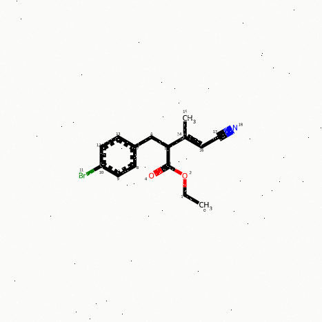 CCOC(=O)C(Cc1ccc(Br)cc1)/C(C)=C/C#N